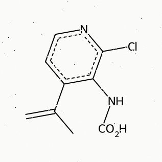 C=C(C)c1ccnc(Cl)c1NC(=O)O